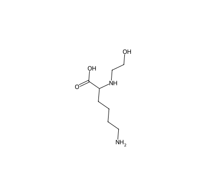 NCCCCC(NCCO)C(=O)O